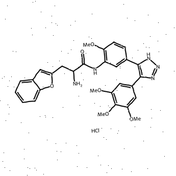 COc1ccc(-c2[nH]nnc2-c2cc(OC)c(OC)c(OC)c2)cc1NC(=O)C(N)Cc1cc2ccccc2o1.Cl